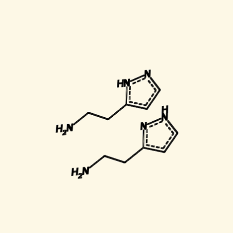 NCCc1cc[nH]n1.NCCc1ccn[nH]1